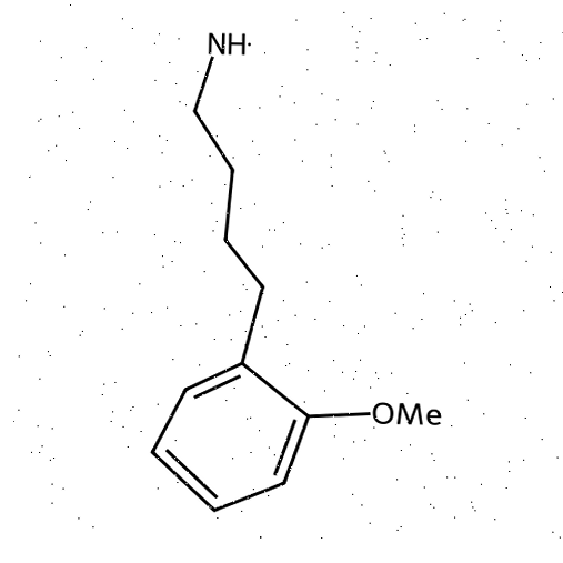 COc1ccccc1CCCC[NH]